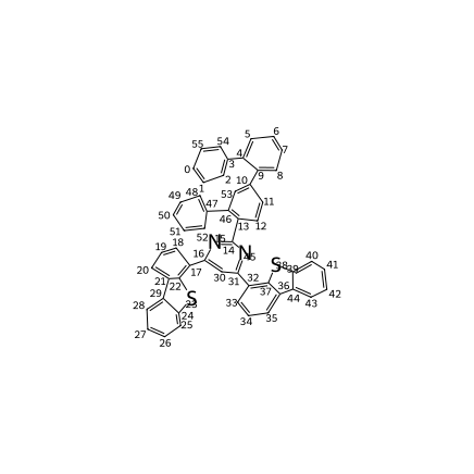 c1ccc(-c2ccccc2-c2ccc(-c3nc(-c4cccc5c4sc4ccccc45)cc(-c4cccc5c4sc4ccccc45)n3)c(-c3ccccc3)c2)cc1